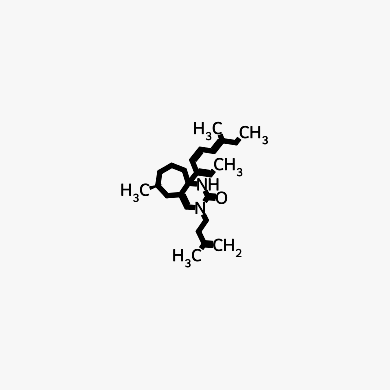 C=C(C)CCN1C=C2C[C@@H](C)CCCC2(C(/C=C\C=C(/C)CC)=C/C)NC1=O